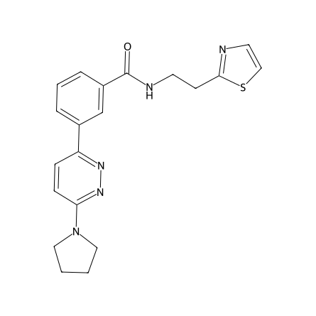 O=C(NCCc1nccs1)c1cccc(-c2ccc(N3CCCC3)nn2)c1